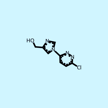 OCc1cn(-c2ccc(Cl)nn2)cn1